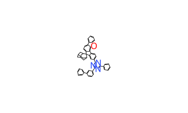 c1ccc(-c2cccc(-c3nc(-c4ccccc4)nc(-c4ccc5c(c4)C4(c6ccc7c(oc8ccccc87)c6-5)C5CC6CC(C5)CC4C6)n3)c2)cc1